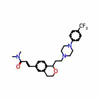 CN(C)C(=O)C=Cc1ccc2c(c1)CCOC2CCN1CCN(c2ccc(C(F)(F)F)cc2)CC1